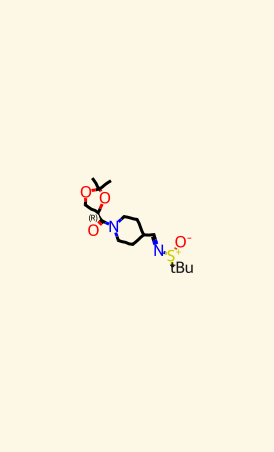 CC1(C)OC[C@H](C(=O)N2CCC(C=N[S+]([O-])C(C)(C)C)CC2)O1